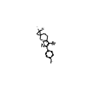 Fc1ccc(-c2nn3c(c2Br)CCC2(C3)CC2(F)F)cc1